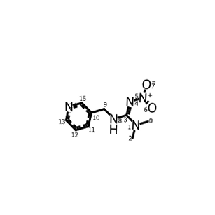 CN(C)C(=N[N+](=O)[O-])NCc1cccnc1